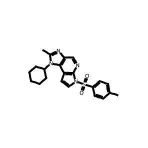 Cc1ccc(S(=O)(=O)n2ccc3c2ncc2nc(C)n(C4CCCCC4)c23)cc1